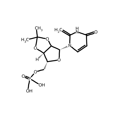 C=C1NC(=O)C=CN1[C@@H]1O[C@H](COP(=O)(O)O)[C@H]2OC(C)(C)OC12